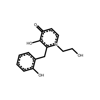 O=c1ccn(CCO)c(Cc2ccccc2O)c1O